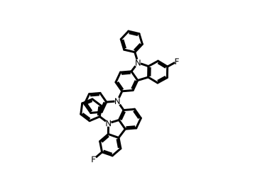 Fc1ccc2c3cc(N(c4ccccc4)c4cccc5c6ccc(F)cc6n(-c6ccccc6)c45)ccc3n(-c3ccccc3)c2c1